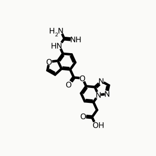 N=C(N)Nc1ccc(C(=O)Oc2ccc(CC(=O)O)n3ncnc23)c2ccoc12